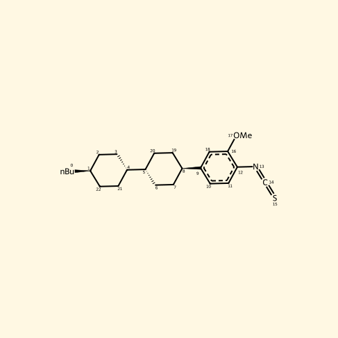 CCCC[C@H]1CC[C@H]([C@H]2CC[C@H](c3ccc(N=C=S)c(OC)c3)CC2)CC1